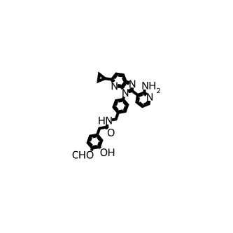 Nc1ncccc1-c1nc2ccc(C3CC3)nc2n1-c1ccc(CNC(=O)Cc2ccc(C=O)c(O)c2)cc1